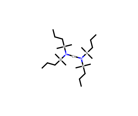 CCC[Si](C)(C)[N]([Co][N]([Si](C)(C)CCC)[Si](C)(C)CCC)[Si](C)(C)CCC